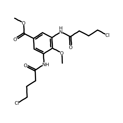 COC(=O)c1cc(NC(=O)CCCCl)c(OC)c(NC(=O)CCCCl)c1